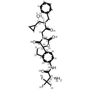 C[C@@H](C1CC1)N(Cc1ccccc1)C(=O)CN1C(=O)O[C@]2(CCc3cc(NC(=O)[C@H](N)C(F)(F)F)ccc32)C1=O